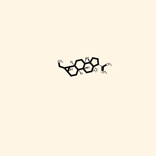 C=C(C)[C@H]1CC[C@H]2[C@@H]3CC[C@@H]4C5C(CC)[C@@]5(O)CC[C@@H]4[C@H]3CC[C@]12C